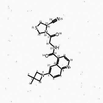 CC1(C)CN(c2ccc3nccc(C(=O)NCC(=O)N4CSC[C@H]4C#N)c3c2)C1